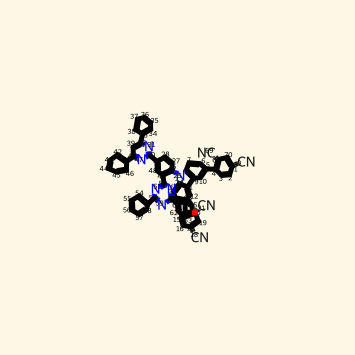 N#Cc1ccc(-c2ccc3c(c2)c2cc(-c4ccc(C#N)cc4C#N)ccc2n3-c2ccc(-c3nc(-c4ccccc4)cc(-c4ccccc4)n3)cc2-c2nc(-c3ccccc3)nc(-c3ccccc3)n2)c(C#N)c1